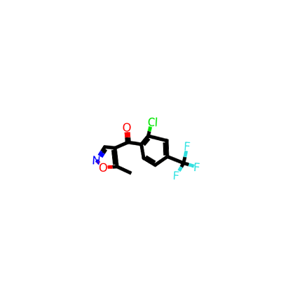 Cc1oncc1C(=O)c1ccc(C(F)(F)F)cc1Cl